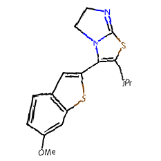 COc1ccc2cc(C3=C(C(C)C)SC4=NCCN43)sc2c1